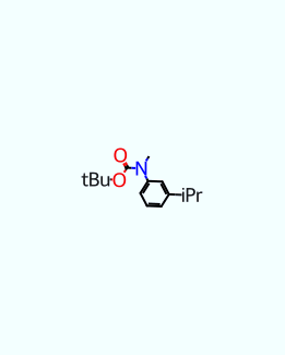 CC(C)c1cccc(N(C)C(=O)OC(C)(C)C)c1